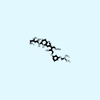 CN/C=C(\C(=N)COc1cccc(OCN(C)C)c1)c1cnc2c(c1)NC(N/C(N)=C/C(=C\N)C(C)C)C=C2